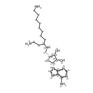 NCCCCCCCCC(CCN)NC[C@H]1O[C@@H](n2cnc3c(N)ncnc32)[C@H](O)[C@@H]1O